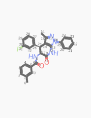 Cc1cccc(C(=O)N[C@@H]2C(=O)Nc3c(c(C)nn3-c3ccccc3)[C@@H]2c2cccc(F)c2)c1